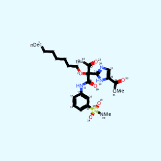 CCCCCCCCCCCCCCCCOC(C(=O)Nc1cccc(S(=O)(=O)NC)c1)(C(=O)C(C)(C)C)c1ncc(C(=O)OC)[nH]1